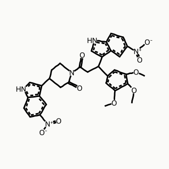 COc1cc(C(CC(=O)N2CCC(c3c[nH]c4ccc([N+](=O)[O-])cc34)CC2=O)c2c[nH]c3ccc([N+](=O)[O-])cc23)cc(OC)c1OC